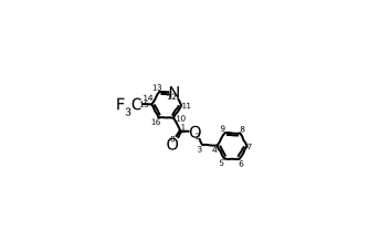 O=C(OCc1ccccc1)c1cncc(C(F)(F)F)c1